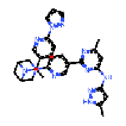 Cc1cc(Nc2cc(C)[nH]n2)nc(-c2ccc(N3CC4CC(C3)N4C(C)c3ccc(-n4cccn4)nc3)nc2)n1